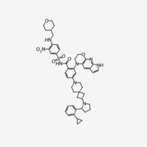 O=C(NS(=O)(=O)c1ccc(NCC2CCOCC2)c([N+](=O)[O-])c1)c1ccc(N2CCC3(CC2)CC(N2CCCC2c2ccccc2C2CC2)C3)cc1N1CCOc2nc3[nH]ccc3cc21